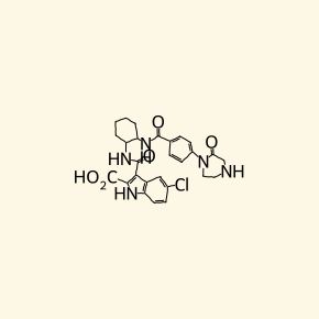 O=C(NC1CCCCC1NC(=O)c1c(C(=O)O)[nH]c2ccc(Cl)cc12)c1ccc(N2CCNCC2=O)cc1